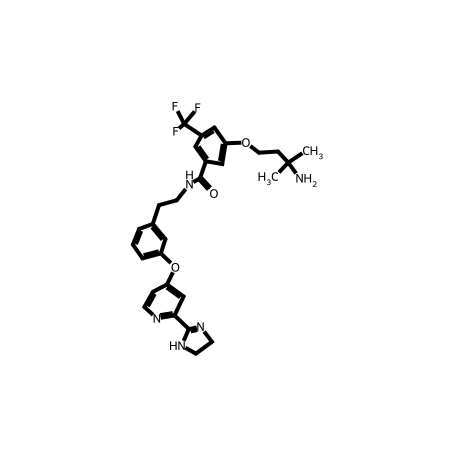 CC(C)(N)CCOc1cc(C(=O)NCCc2cccc(Oc3ccnc(C4=NCCN4)c3)c2)cc(C(F)(F)F)c1